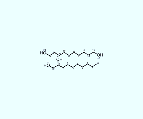 CCCCCCCCC(O)CO.OCCCCCCCCCCO